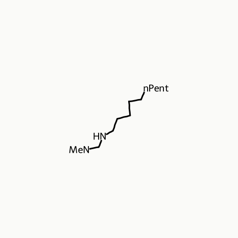 CCCCCCCCCCNCNC